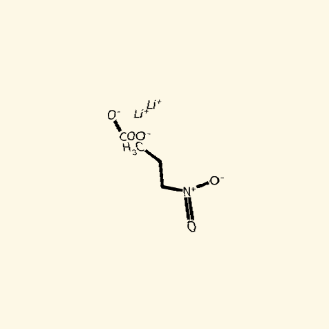 CCC[N+](=O)[O-].O=C([O-])[O-].[Li+].[Li+]